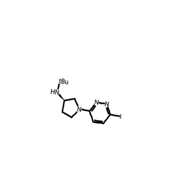 CC(C)(C)N[C@@H]1CCN(c2ccc(I)nn2)C1